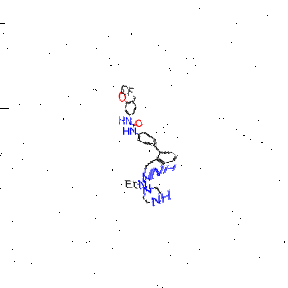 CCN(N1CCNCC1)N1Cc2c(cccc2-c2ccc(NC(=O)Nc3cccc(OC(F)(F)F)c3)cc2)N1